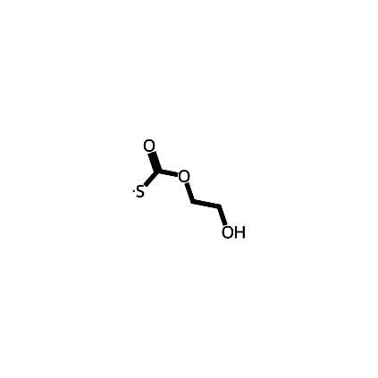 O=C([S])OCCO